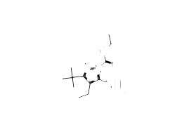 CCOC(=O)n1nc(C(C)(C)C)c(CC)c1N